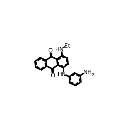 CCNc1ccc(Nc2cccc(N)c2)c2c1C(=O)c1ccccc1C2=O